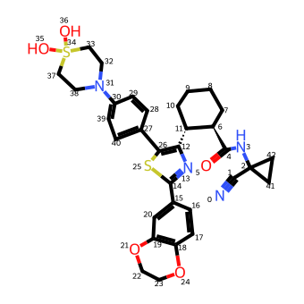 N#CC1(NC(=O)[C@@H]2CCCC[C@H]2c2nc(-c3ccc4c(c3)OCCO4)sc2-c2ccc(N3CCS(O)(O)CC3)cc2)CC1